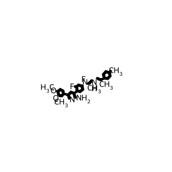 COc1ccc(-c2cnc(N)c(-c3ccc(N(F)/C(C)=C/N/C=C(\C)c4ccc(C)cc4)cc3F)c2)cc1OC